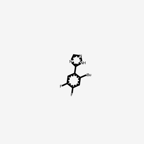 CCC(C)c1cc(F)c(F)cc1-c1ncn[nH]1